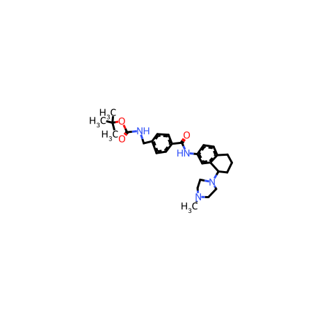 CN1CCN(C2CCCc3ccc(NC(=O)c4ccc(CNC(=O)OC(C)(C)C)cc4)cc32)CC1